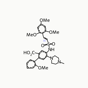 COc1cc(OC)c(/C=C/S(=O)(=O)Nc2cc(C(=O)O)c(-c3ccccc3OC)cc2N2CCN(C)CC2)c(OC)c1